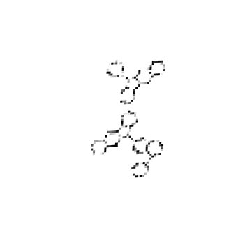 c1ccc(-n2c3ccc(-c4ccc5c(c4)c4cc6ccccc6cc4n5-c4cc5c6c(cccc6c4)-c4ccccc4-5)cc3c3cc4ccccc4cc32)cc1